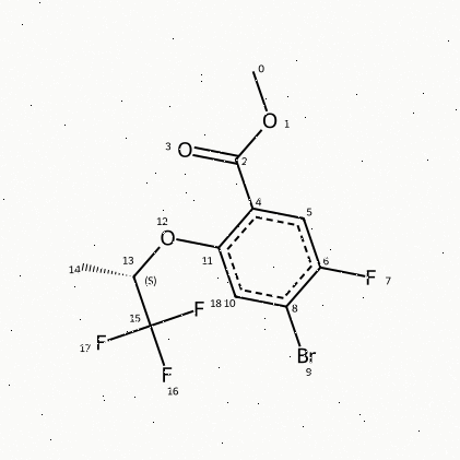 COC(=O)c1cc(F)c(Br)cc1O[C@@H](C)C(F)(F)F